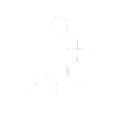 CCC(CC(C)(C)F)/C(O)=C/C(=O)C(C)(C)CC1CCCC1